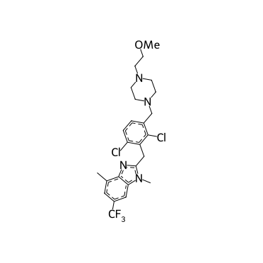 COCCN1CCN(Cc2ccc(Cl)c(Cc3nc4c(C)cc(C(F)(F)F)cc4n3C)c2Cl)CC1